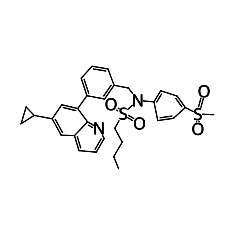 CCCCS(=O)(=O)N(Cc1cccc(-c2cc(C3CC3)cc3cccnc23)c1)c1ccc(S(C)(=O)=O)cc1